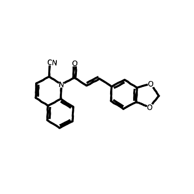 N#CC1C=Cc2ccccc2N1C(=O)C=Cc1ccc2c(c1)OCO2